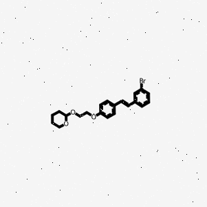 Brc1cccc(C=Cc2ccc(OCCOC3CCCCO3)cc2)c1